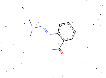 CN(C)N=Nc1ccccc1C(=O)O